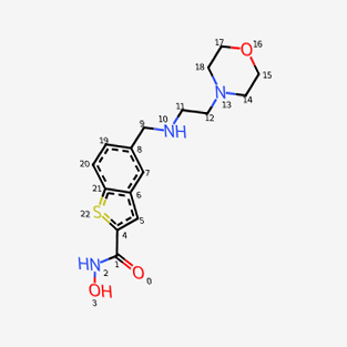 O=C(NO)c1cc2cc(CNCCN3CCOCC3)ccc2s1